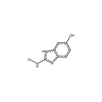 Oc1ccc2nc(NCl)[nH]c2c1